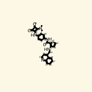 CN(C)c1c(Nc2ccc(NC(=O)c3sccc3NCc3ccnc4ccccc34)cc2)c(=O)c1=O